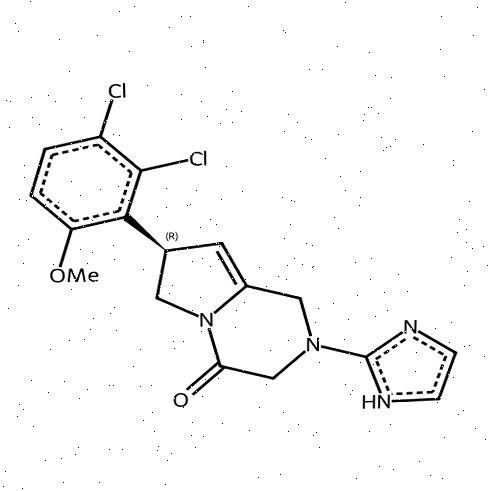 COc1ccc(Cl)c(Cl)c1[C@H]1C=C2CN(c3ncc[nH]3)CC(=O)N2C1